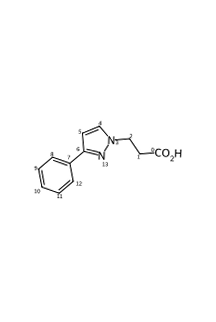 O=C(O)CCn1ccc(-c2ccccc2)n1